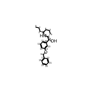 CCC[C@H]1CCC[C@H]([C@H](O)c2cccc(OCc3ccccc3)c2)N1